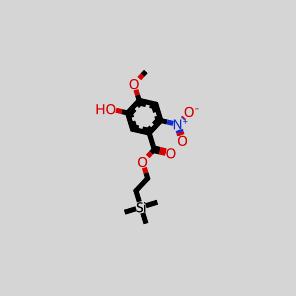 COc1cc([N+](=O)[O-])c(C(=O)OCC[Si](C)(C)C)cc1O